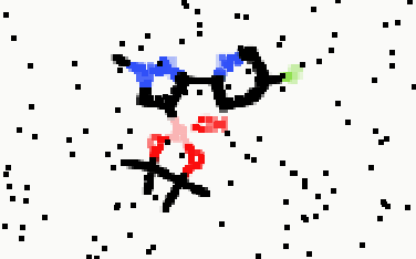 Cn1cc([B-]2(O)OC(C)(C)C(C)(C)O2)c(-c2ccc(F)cn2)n1